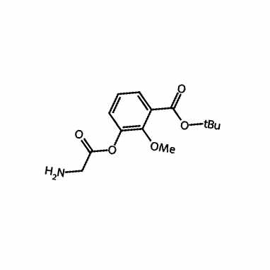 COc1c(OC(=O)CN)cccc1C(=O)OC(C)(C)C